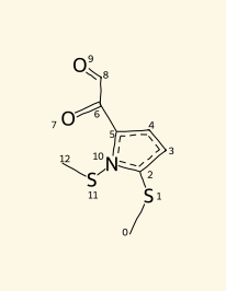 CSc1ccc(C(=O)C=O)n1SC